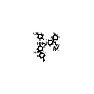 O=C([C@@H](Cc1ccc(Cl)cc1)N[C@H]1CC[C@@](O)(c2ccc(F)cc2)CC1)N1CCC(Cn2cncn2)(C2CCCCC2)CC1